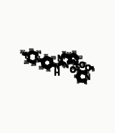 COc1ncccc1S(=O)(=O)n1ccc2cnc(Nc3ccc(N4CCN(C)CC4)cc3)nc21